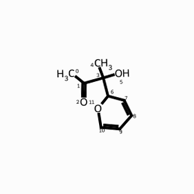 CC(=O)C(C)(O)C1C=CC=CO1